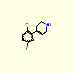 Fc1ccc(Cl)c(C2=CCNCC2)c1